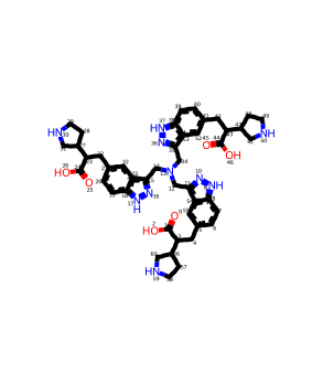 O=C(O)C(Cc1ccc2[nH]nc(CN(Cc3n[nH]c4ccc(CC(C(=O)O)C5CCNC5)cc34)Cc3n[nH]c4ccc(CC(C(=O)O)C5CCNC5)cc34)c2c1)C1CCNC1